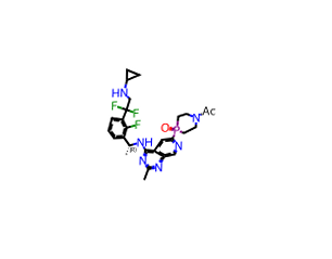 CC(=O)N1CCP(=O)(c2cc3c(N[C@H](C)c4cccc(C(F)(F)CNC5CC5)c4F)nc(C)nc3cn2)CC1